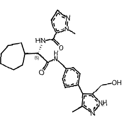 Cc1n[nH]c(CO)c1-c1ccc(NC(=O)[C@@H](NC(=O)c2ccnn2C)C2CCCCCC2)cc1